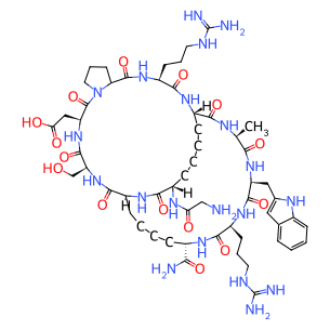 C[C@@H]1NC(=O)[C@@H]2CCCC[C@H](NC(=O)CN)C(=O)N[C@@H](CCCC[C@@H](C(N)=O)NC(=O)[C@H](CCCNC(=N)N)NC(=O)[C@H](Cc3cc4ccccc4[nH]3)NC1=O)C(=O)N[C@@H](CO)C(=O)N[C@@H](CC(=O)O)C(=O)N1CCCC1C(=O)N[C@@H](CCCNC(=N)N)C(=O)N2